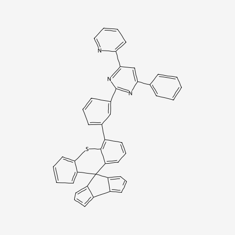 c1ccc(-c2cc(-c3ccccn3)nc(-c3cccc(-c4cccc5c4Sc4ccccc4C54c5ccccc5-c5ccccc54)c3)n2)cc1